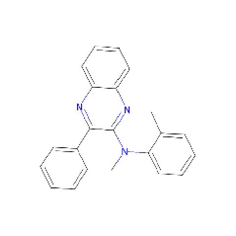 Cc1ccccc1N(C)c1nc2ccccc2nc1-c1ccccc1